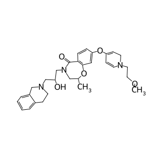 COCCN1C=CC(Oc2ccc3c(c2)OC(C)CN(CC(O)CN2CCc4ccccc4C2)C3=O)=CC1